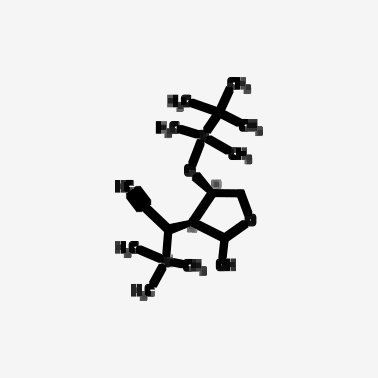 C#CC([C@@H]1C(O)OC[C@@H]1O[Si](C)(C)C(C)(C)C)[Si](C)(C)C